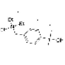 CC[N+](CC)(CC)Cc1ccc(C(C)(C)O)cc1